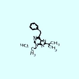 CCn1cnc(Cc2ccccc2)c2nc(C(C)C)nc1-2.Cl